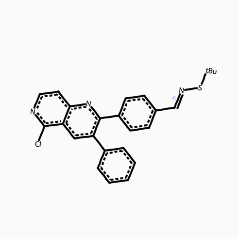 CC(C)(C)S/N=C/c1ccc(-c2nc3ccnc(Cl)c3cc2-c2ccccc2)cc1